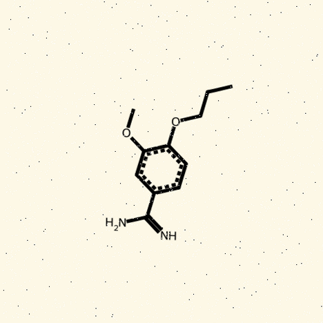 CCCOc1ccc(C(=N)N)cc1OC